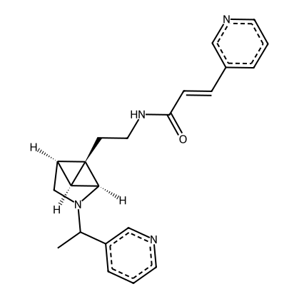 CC(c1cccnc1)N1C[C@@H]2[C@@H]3[C@H]1[C@]32CCNC(=O)/C=C/c1cccnc1